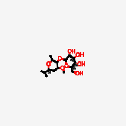 COC1C[C@@H](C(C)C)OC(C)C1OC1O[C@H](CO)[C@@H](O)[C@H](O)[C@H]1O